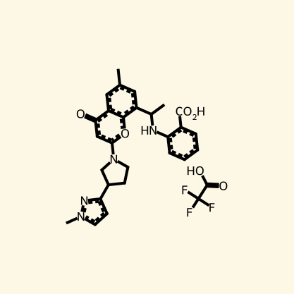 Cc1cc(C(C)Nc2ccccc2C(=O)O)c2oc(N3CCC(c4ccn(C)n4)C3)cc(=O)c2c1.O=C(O)C(F)(F)F